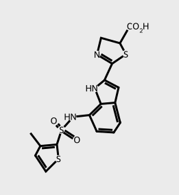 Cc1ccsc1S(=O)(=O)Nc1cccc2cc(C3=NCC(C(=O)O)S3)[nH]c12